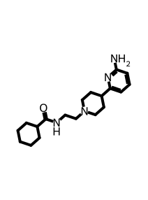 Nc1cccc(C2CCN(CCNC(=O)C3CCCCC3)CC2)n1